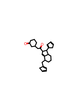 O=C1CCCC(CC(=O)C2C=C3C(CC4=CC=CC4)CCCC3C2C2=CC=CC2)C1